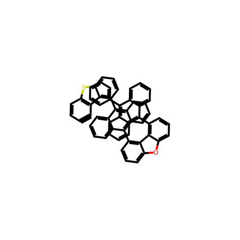 c1ccc2sc3cccc(-c4c5ccccc5c(-c5cccc6oc7cccc(-c8c9ccccc9c(-c9ccccc9)c9ccccc89)c7c56)c5ccccc45)c3c2c#1